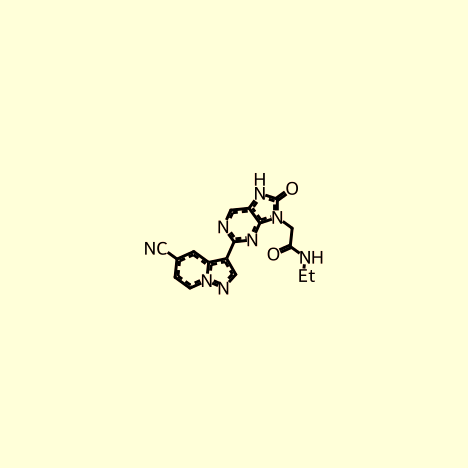 CCNC(=O)Cn1c(=O)[nH]c2cnc(-c3cnn4ccc(C#N)cc34)nc21